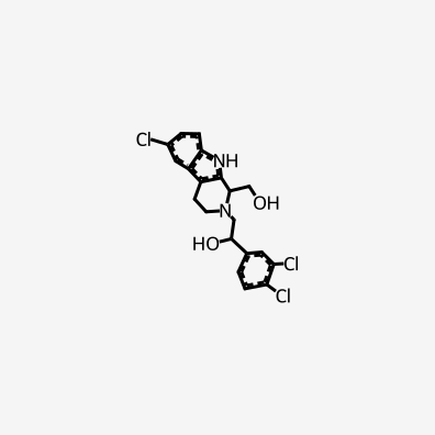 OCC1c2[nH]c3ccc(Cl)cc3c2CCN1CC(O)c1ccc(Cl)c(Cl)c1